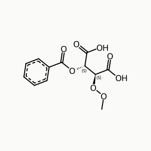 COO[C@H](C(=O)O)[C@H](OC(=O)c1ccccc1)C(=O)O